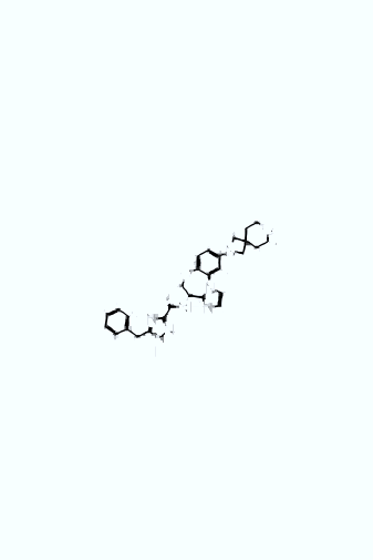 O=C(N[C@H]1COc2ccc(N3CC4(CCOCC4)C3)cc2-n2ccnc21)c1n[nH]c(Cc2ccccc2)n1